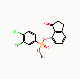 CCOP(=O)(Oc1cccc2c1C(=O)CC2)c1ccc(Cl)c(Cl)c1